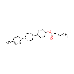 C=CCC(=O)OC1CCC(C2CCC(c3ccc(C#N)cc3)CC2)CC1